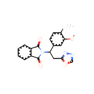 CCOc1cc(C(Cc2nnco2)N2C(=O)c3ccccc3C2=O)ccc1OC